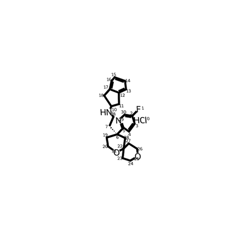 Cl.Fc1ccc([C@]2(CCNC3Cc4ccccc4C3)CCOC3(CCOCC3)C2)nc1